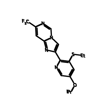 CCSc1cc(OC(C)C)cnc1-c1cn2cnc(C(F)(F)F)cc2n1